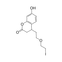 O=C1CC(CCOCCI)c2ccc(O)cc2O1